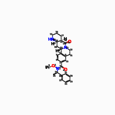 CC(C)ON(C(=O)c1ccc2c(c1)CCN1C(=O)[C@@H]3CCCN[C@@H]3C[C@@H]21)[C@H](C)c1ccccc1